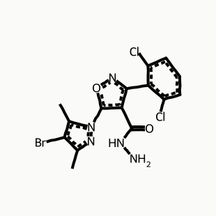 Cc1nn(-c2onc(-c3c(Cl)cccc3Cl)c2C(=O)NN)c(C)c1Br